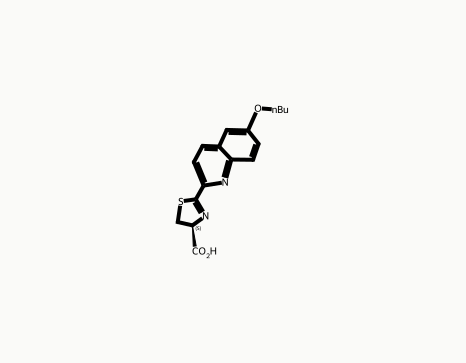 CCCCOc1ccc2nc(C3=N[C@@H](C(=O)O)CS3)ccc2c1